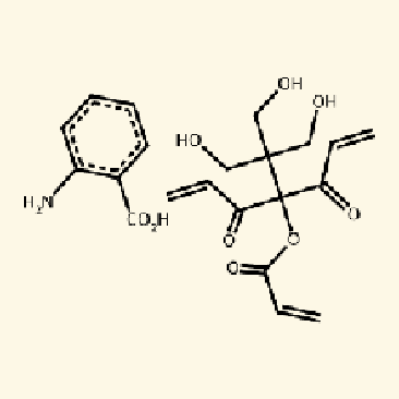 C=CC(=O)OC(C(=O)C=C)(C(=O)C=C)C(CO)(CO)CO.Nc1ccccc1C(=O)O